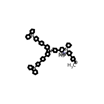 COc1ccc(-c2ccc(N(C3=CC=C(c4ccc(-n5c6ccc(-c7ccc(-c8ccc(-n9c%10ccccc%10c%10ccccc%109)cc8)cc7)cc6c6cc(-c7ccc(-c8ccc(-n9c%10ccccc%10c%10ccccc%109)cc8)cc7)ccc65)cc4)C(=N)/C3=N\S)c3ccccc3)cc2)cc1